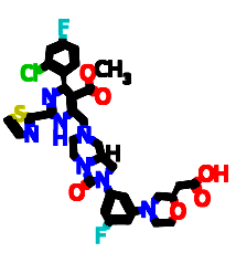 COC(=O)C1=C(CN2CCN3C(=O)N(c4cc(F)cc(N5CCO[C@H](CC(=O)O)C5)c4)C[C@@H]3C2)NC(c2nccs2)=N[C@H]1c1ccc(F)cc1Cl